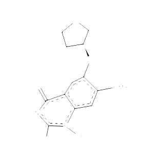 COc1cc2c(cc1O[C@H]1CCOC1)c(=O)nc(C)n2C